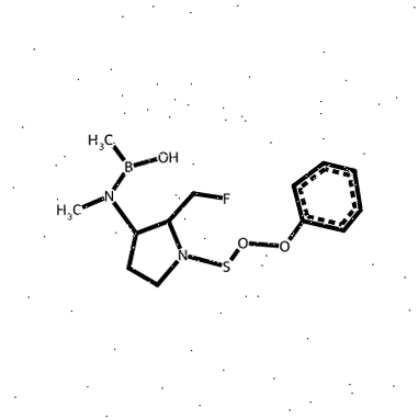 CB(O)N(C)C1CCN(SOOc2ccccc2)C1CF